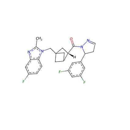 Cc1nc2cc(F)ccc2n1CC12CC(C1)[C@@H](C(=O)N1N=CCC1c1cc(F)cc(F)c1)C2